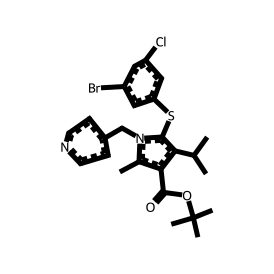 Cc1c(C(=O)OC(C)(C)C)c(C(C)C)c(Sc2cc(Cl)cc(Br)c2)n1Cc1ccncc1